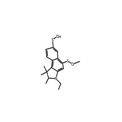 CCN1c2cc(SOC)c3cc(SO)ccc3c2C(C)(C)C1C